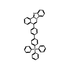 c1ccc([Si](c2ccccc2)(c2ccccc2)c2ccc(-c3ccc(-c4cn5c6ccccc6nc5c5ccccc45)cc3)cc2)cc1